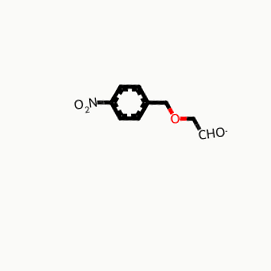 O=[C]COCc1ccc([N+](=O)[O-])cc1